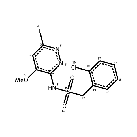 COc1cc(I)nnc1NS(=O)(=O)Cc1ccccc1Cl